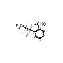 O=[C]c1ccccc1C(F)(F)C(F)(F)C(F)(F)F